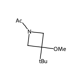 COC1(C(C)(C)C)CN(C(C)=O)C1